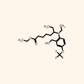 CCOC(=O)CCCCC(CC)N(CC)c1ccc(OC(F)(F)F)cc1CO